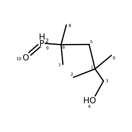 CC(C)(CO)CC(C)(C)[PH2]=O